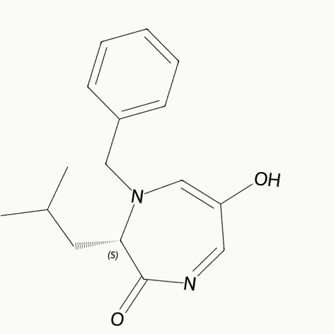 CC(C)C[C@H]1C(=O)N=CC(O)=CN1Cc1ccccc1